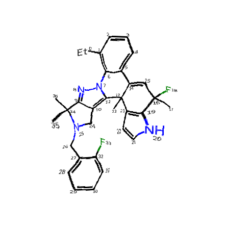 CCc1cccc2c1-n1nc3c(c1C1(C)C2=CC(C)(F)c2[nH]ccc21)CN(Cc1ccccc1F)C3(C)C